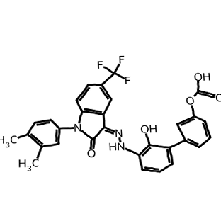 Cc1ccc(N2C(=O)C(=NNc3cccc(-c4cccc(OC(=O)O)c4)c3O)c3cc(C(F)(F)F)ccc32)cc1C